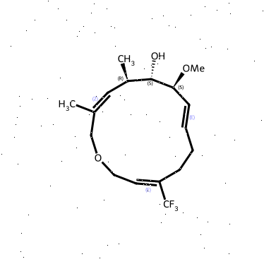 CO[C@H]1/C=C/CC/C(C(F)(F)F)=C\COC/C(C)=C\[C@@H](C)[C@@H]1O